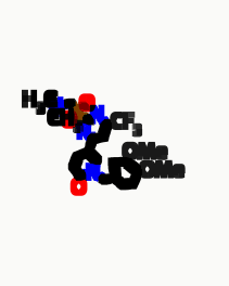 COc1ccc(Cn2cc(-c3cc(C(F)(F)F)nc(S(=O)(=O)CN(C)C)n3)ccc2=O)cc1OC